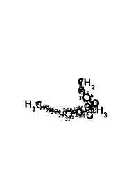 C=CCOc1ccc(C(=O)C(C)OC(=O)c2ccc(C3CCC(CCCCCCCC)CC3)cc2)cc1